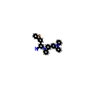 N#Cc1cc(-c2ccc3sc4ccccc4c3c2)cc(-n2c3ccccc3c3cc(-c4ccc5c(c4)c4ccccc4n5-c4ccccc4)ccc32)c1